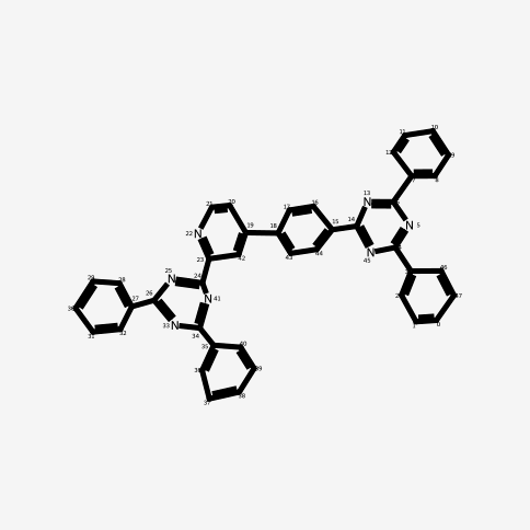 c1ccc(-c2nc(-c3ccccc3)nc(-c3ccc(-c4ccnc(-c5nc(-c6ccccc6)nc(-c6ccccc6)n5)c4)cc3)n2)cc1